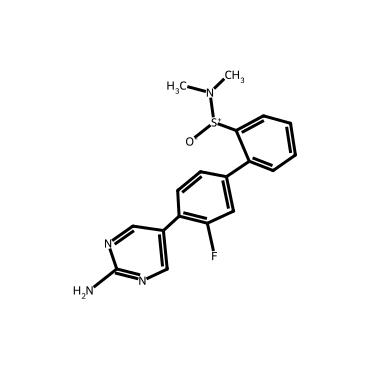 CN(C)[S+]([O-])c1ccccc1-c1ccc(-c2cnc(N)nc2)c(F)c1